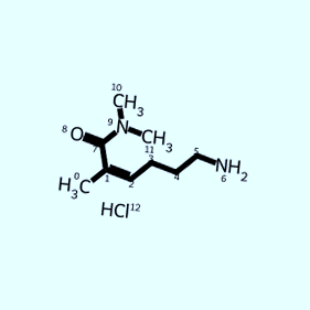 CC(=CCCCN)C(=O)N(C)C.Cl